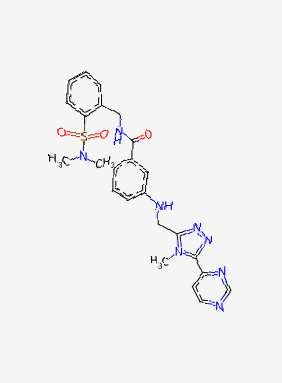 CN(C)S(=O)(=O)c1ccccc1CNC(=O)c1cccc(NCc2nnc(-c3ccncn3)n2C)c1